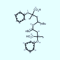 CCCCC(CC(C)(Oc1ccccc1)C(=O)O)OC(CCCC)CC(C)(Oc1ccccc1)C(=O)O